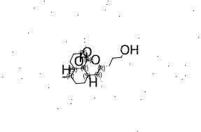 C[C@H]1[C@@H](CCCO)O[C@@H]2O[C@]3(C)CC[C@H]4[C@H](C)CC[C@@H]1[C@@]24O3